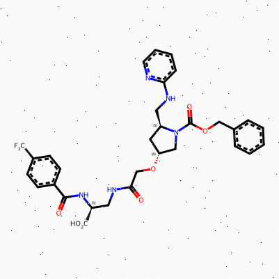 O=C(CO[C@@H]1C[C@@H](CNc2ccccn2)N(C(=O)OCc2ccccc2)C1)NC[C@H](NC(=O)c1ccc(C(F)(F)F)cc1)C(=O)O